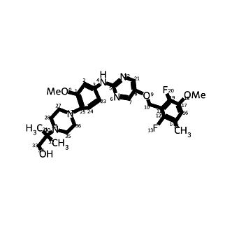 COc1cc(Nc2ncc(OCc3c(F)c(C)cc(OC)c3F)cn2)ccc1N1CCN(C(C)(C)CO)CC1